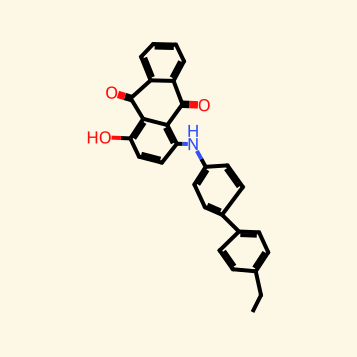 CCc1ccc(-c2ccc(Nc3ccc(O)c4c3C(=O)c3ccccc3C4=O)cc2)cc1